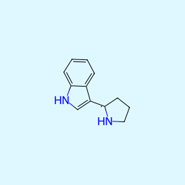 c1ccc2c([C]3CCCN3)c[nH]c2c1